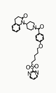 O=C(c1ccc(OCCCCCS(=O)(=O)c2ncccn2)cc1)N1CCC(N2C(=O)CCc3ccccc32)CC1